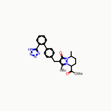 CCCCc1c(Cc2ccc(-c3ccccc3-c3nnn[nH]3)cc2)c(=O)n2n1C(C(=O)OC)CCC2C